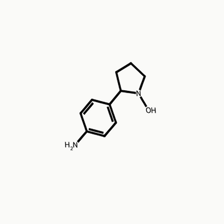 Nc1ccc(C2CCCN2O)cc1